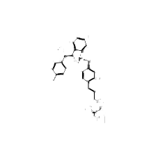 Cc1ccc(C(=O)c2nn(Cc3ccc(/C=C/CO[C@H](C)C(=O)O)cc3)c3ccccc23)cc1